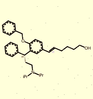 CC(C)N(CC[C@H](c1ccccc1)c1cc(/C=C/CCCCO)ccc1OCc1ccccc1)C(C)C